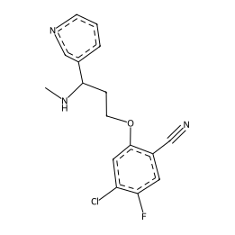 CNC(CCOc1cc(Cl)c(F)cc1C#N)c1cccnc1